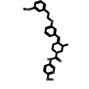 COc1cccc(CCOc2cccc(/C=C3\CCN(C(=O)Nc4ccc(OC)nc4)CC3C)c2)c1